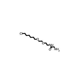 NCC(=O)NCCOCCOCCCCCCCl